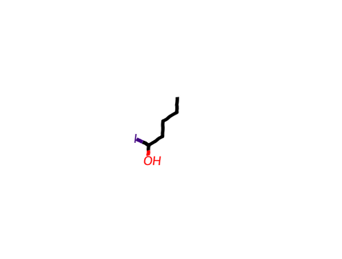 CCCCC(O)I